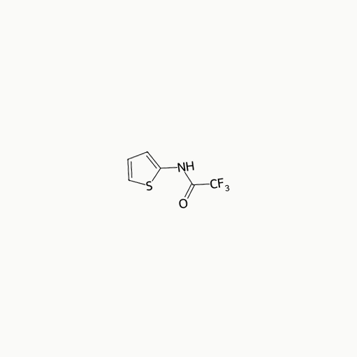 O=C(Nc1cccs1)C(F)(F)F